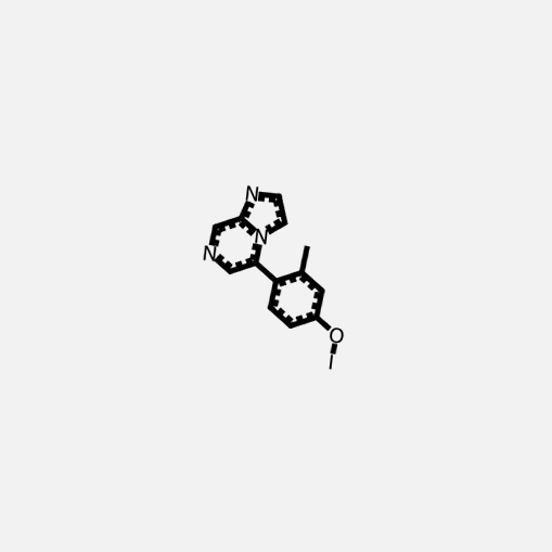 Cc1cc(OI)ccc1-c1cncc2nccn12